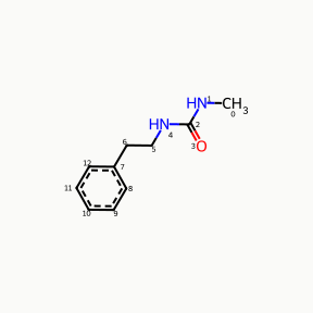 CNC(=O)NCCc1ccccc1